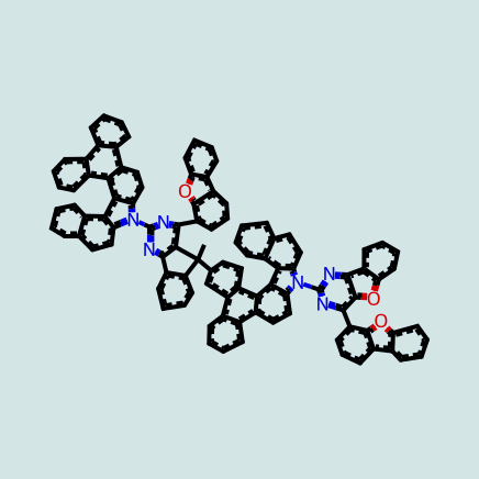 CC1(c2ccc3c(c2)c2ccccc2c2ccc4c(c23)c2c3ccccc3ccc2n4-c2nc(-c3cccc4c3oc3ccccc34)c3oc4ccccc4c3n2)c2ccccc2-c2nc(-n3c4ccc5ccccc5c4c4c5c6ccccc6c6ccccc6c5ccc43)nc(-c3cccc4c3oc3ccccc34)c21